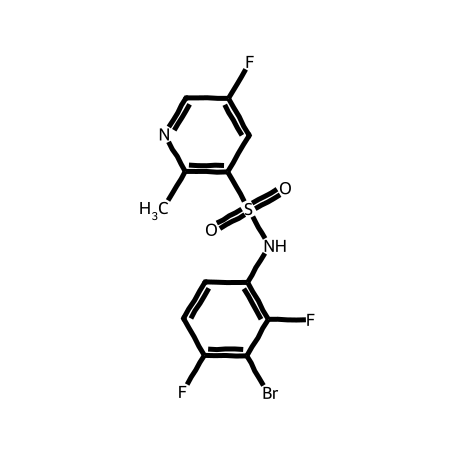 Cc1ncc(F)cc1S(=O)(=O)Nc1ccc(F)c(Br)c1F